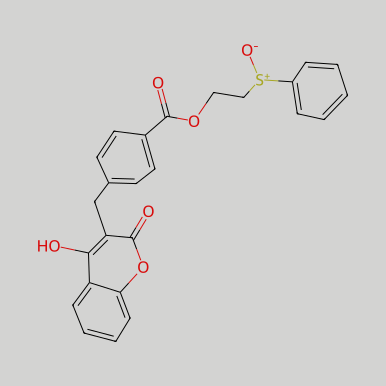 O=C(OCC[S+]([O-])c1ccccc1)c1ccc(Cc2c(O)c3ccccc3oc2=O)cc1